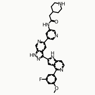 COc1cc(F)cc(-c2nccc3[nH]c(-c4n[nH]c5cnc(-c6cncc(NC(=O)CC7CCNCC7)c6)cc45)cc23)c1